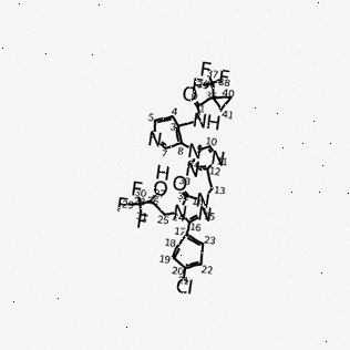 O=C(Nc1ccncc1-n1cnc(Cn2nc(-c3ccc(Cl)cc3)n(C[C@H](O)C(F)(F)F)c2=O)n1)C1(C(F)(F)F)CC1